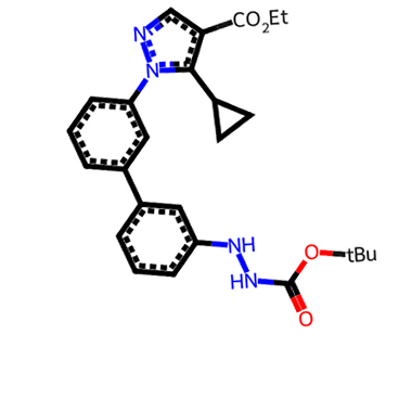 CCOC(=O)c1cnn(-c2cccc(-c3cccc(NNC(=O)OC(C)(C)C)c3)c2)c1C1CC1